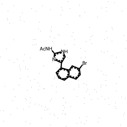 CC(=O)Nc1nc(-c2cccc3ccc(Br)cc23)c[nH]1